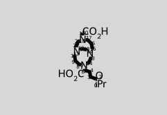 CC(C)C(=O)CCC(C(=O)O)N1CCCN2CCN(CCCN(CC(=O)O)CC2)CC1